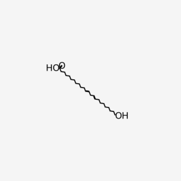 O=C(O)CCCCCCCCCCC=CCC=CCCCCCCCCO